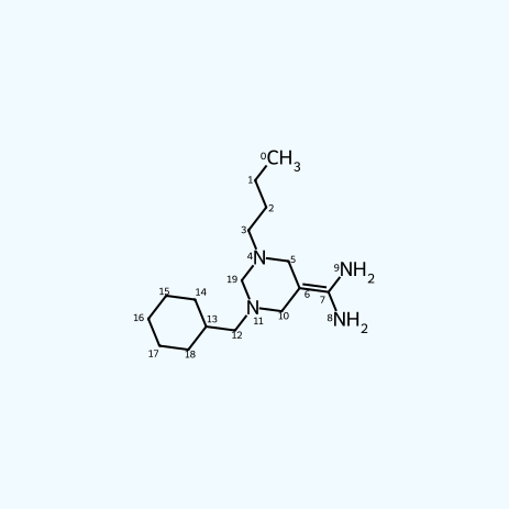 CCCCN1CC(=C(N)N)CN(CC2CCCCC2)C1